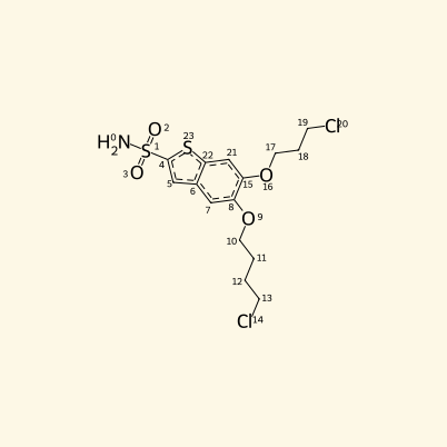 NS(=O)(=O)c1cc2cc(OCCCCCl)c(OCCCCl)cc2s1